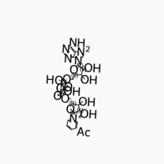 CC(=O)c1ccc[n+]([C@@H]2O[C@H](COP(=O)(O)OP(=O)(O)OC[C@H]3O[C@@H](n4cnc5c(N)ncnc54)[C@@H](O)C3O)C(O)[C@@H]2O)c1